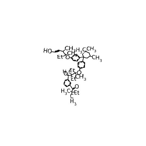 CCC(C)(C)C(=O)c1cccc(C(=O)C(C)(CC)C(C)(CC)Oc2ccc(C3(c4ccc(OC(C)(CC)C(C)C#CO)cc4)CC(C)CC(C)(C)C3)cc2)c1